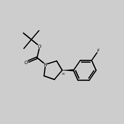 CC(C)(C)OC(=O)N1CC[C@H](c2cccc(F)c2)C1